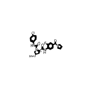 CO[C@@H]1C[C@H](C(=O)Nc2ccc(C(=O)n3cccc3)cc2F)N(C(=O)Nc2ccc(Cl)cc2)C1